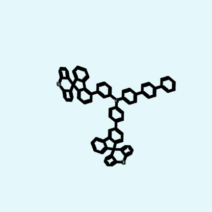 c1ccc(-c2ccc(-c3ccc(N(c4ccc(-c5ccc6c(c5)-c5ccccc5C65c6ccccc6Oc6ccccc65)cc4)c4cccc(-c5cccc6c5-c5ccccc5C65c6ccccc6Oc6ccccc65)c4)cc3)cc2)cc1